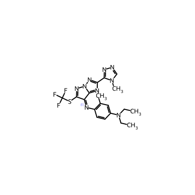 CCN(CC)c1ccc(/N=C2/C(SC(F)(F)F)=Nn3nc(-c4nncn4C)nc32)c(C)c1